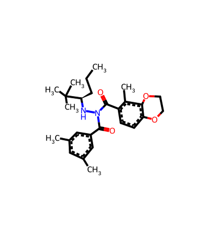 CCC[C@@H](NN(C(=O)c1cc(C)cc(C)c1)C(=O)c1ccc2c(c1C)OCCO2)C(C)(C)C